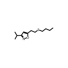 CCCCSCCc1cc(C(C)C)no1